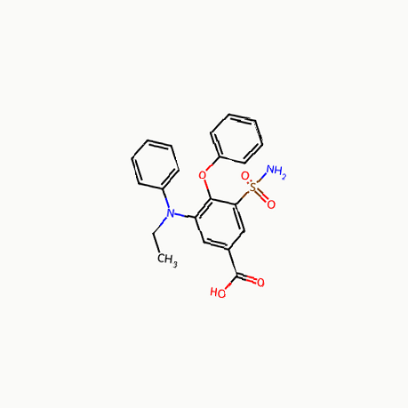 CCN(c1ccccc1)c1cc(C(=O)O)cc(S(N)(=O)=O)c1Oc1ccccc1